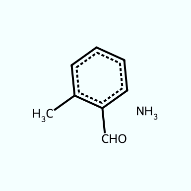 Cc1ccccc1C=O.N